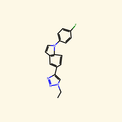 CCn1cc(-c2ccc3c(ccn3-c3ccc(F)cc3)c2)nn1